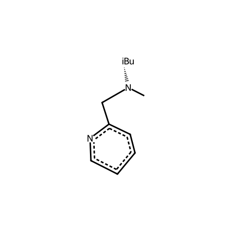 CC[C@@H](C)N(C)Cc1ccccn1